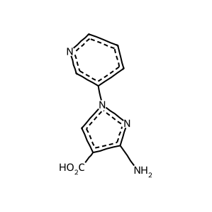 Nc1nn(-c2cccnc2)cc1C(=O)O